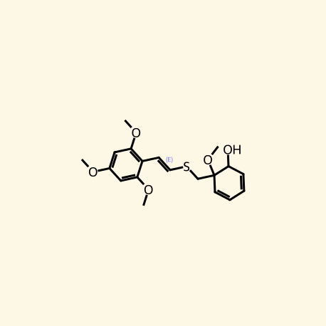 COc1cc(OC)c(/C=C/SCC2(OC)C=CC=CC2O)c(OC)c1